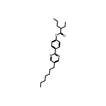 CCCCCCCc1cnc(-c2ccc(OC(=O)C(CC)CCC)cc2)nc1